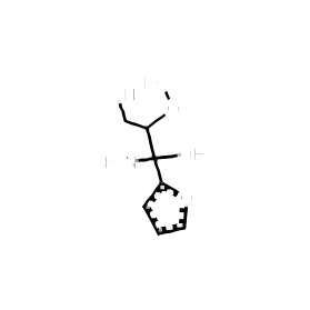 CCC(OC)C(N)(O)c1ccco1